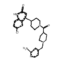 Nc1cc(CN2CCC(C(=O)N3CCC(c4cc(=O)[nH]c5ccc(Cl)cc45)CC3)CC2)ccn1